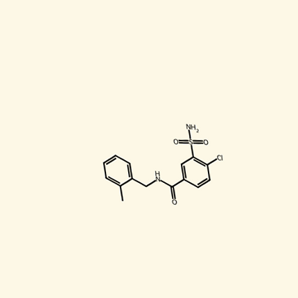 Cc1ccccc1CNC(=O)c1ccc(Cl)c(S(N)(=O)=O)c1